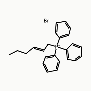 CCCC=CC[P+](c1ccccc1)(c1ccccc1)c1ccccc1.[Br-]